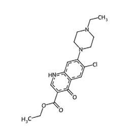 CCOC(=O)c1c[nH]c2cc(N3CCN(CC)CC3)c(Cl)cc2c1=O